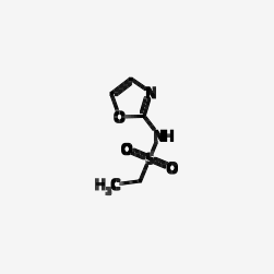 CCS(=O)(=O)Nc1ncco1